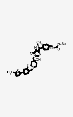 Cc1ccc(-c2ccc(CN3CCC(O)(Cn4cnc5c(-c6ccc(CNC(=O)OC(C)(C)C)cc6)n(C)nc5c4=O)CC3)c(F)c2)s1